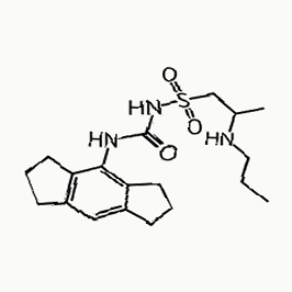 CCCNC(C)CS(=O)(=O)NC(=O)Nc1c2c(cc3c1CCC3)CCC2